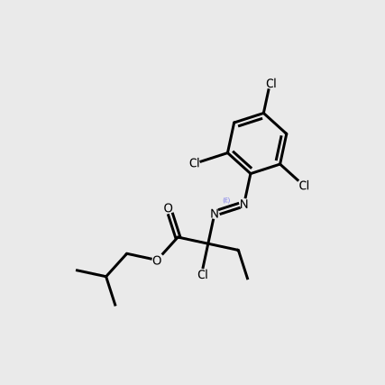 CCC(Cl)(/N=N/c1c(Cl)cc(Cl)cc1Cl)C(=O)OCC(C)C